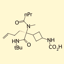 C=CCC[C@@](C(=O)NC(C)(C)C)(C1CC(NC(=O)O)C1)N(C)C(=O)CCC